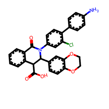 Nc1ccc(-c2ccc(N3C(=O)c4ccccc4C(C(=O)O)C3c3ccc4c(c3)OCCO4)cc2Cl)cc1